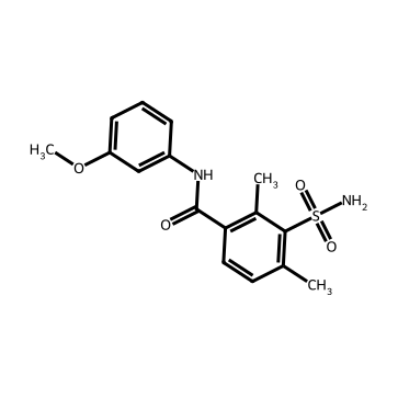 COc1cccc(NC(=O)c2ccc(C)c(S(N)(=O)=O)c2C)c1